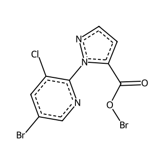 O=C(OBr)c1ccnn1-c1ncc(Br)cc1Cl